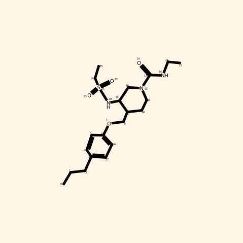 CCCc1ccc(OCC2CCN(C(=O)NCC)CC2NS(=O)(=O)CC)cc1